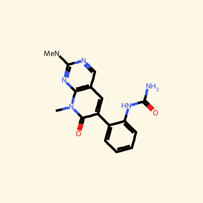 CNc1ncc2cc(-c3ccccc3NC(N)=O)c(=O)n(C)c2n1